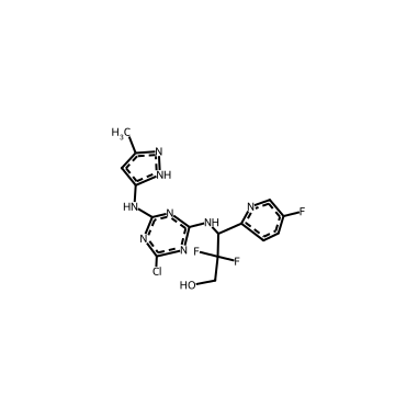 Cc1cc(Nc2nc(Cl)nc(NC(c3ccc(F)cn3)C(F)(F)CO)n2)[nH]n1